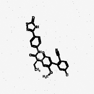 CC[C@@H](C(=O)Nc1ccc(-c2nsc(=O)[nH]2)cc1)n1cc(OC)c(-c2cc(Cl)ccc2C#N)cc1=O